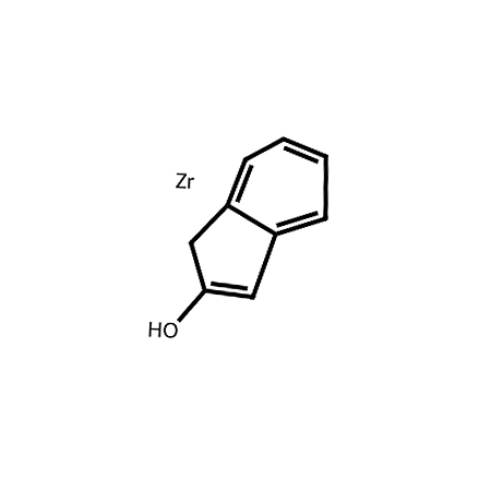 OC1=Cc2ccccc2C1.[Zr]